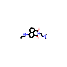 C=CCNc1ccc2c3c(cccc13)C(=O)N(CCN(C)C)C2=O